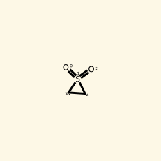 O=S1(=O)[C]C1